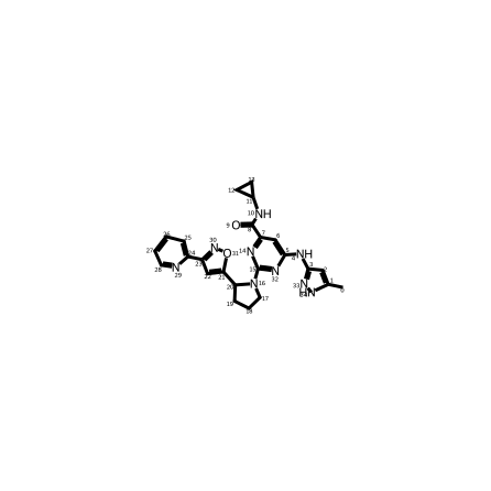 Cc1cc(Nc2cc(C(=O)NC3CC3)nc(N3CCCC3c3cc(-c4ccccn4)no3)n2)n[nH]1